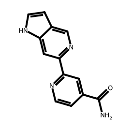 NC(=O)c1ccnc(-c2cc3[nH]ccc3cn2)c1